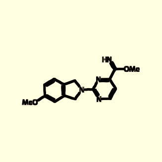 COC(=N)c1ccnc(N2Cc3ccc(OC)cc3C2)n1